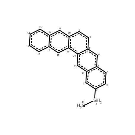 [SiH3][SiH2]c1ccc2cc3ccc4cc5ccccc5cc4c3cc2c1